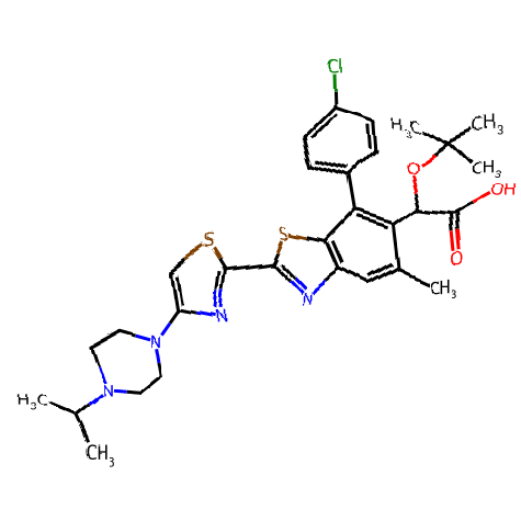 Cc1cc2nc(-c3nc(N4CCN(C(C)C)CC4)cs3)sc2c(-c2ccc(Cl)cc2)c1C(OC(C)(C)C)C(=O)O